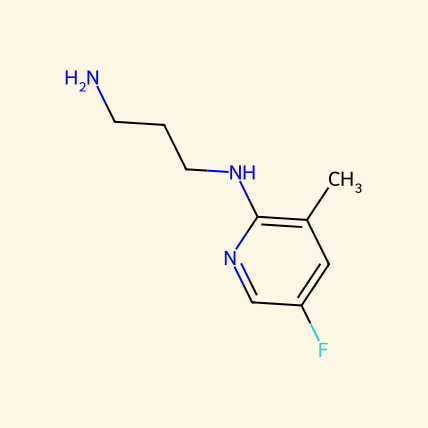 Cc1cc(F)cnc1NCCCN